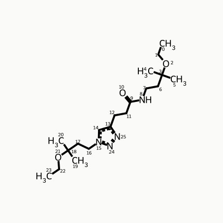 CCOC(C)(C)CCNC(=O)CCc1cn(CCC(C)(C)OCC)nn1